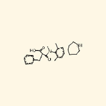 C1CCCNCC1.Cc1cccc(C)c1N(C)C(=O)C(Cc1ccccc1)C(=O)O